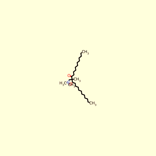 CCCCCCCCCCCC(=O)C(C)(CN(C)C)C(=O)CCCCCCCCCCC